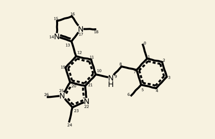 Cc1cccc(C)c1CNc1cc(C2=NCCN2C)cc2c1nc(C)n2C